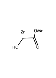 COC(=O)CO.[Zn]